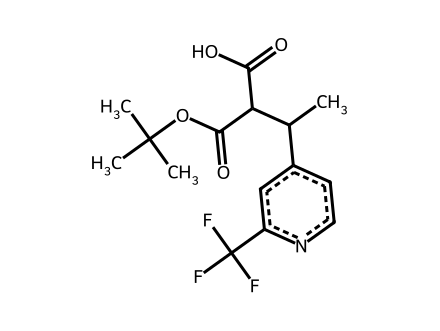 CC(c1ccnc(C(F)(F)F)c1)C(C(=O)O)C(=O)OC(C)(C)C